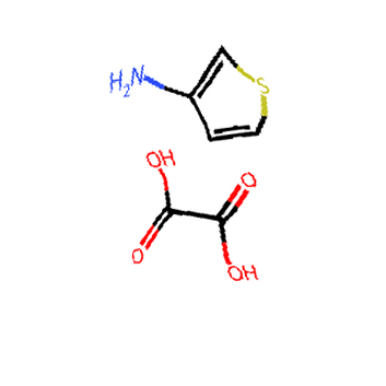 Nc1ccsc1.O=C(O)C(=O)O